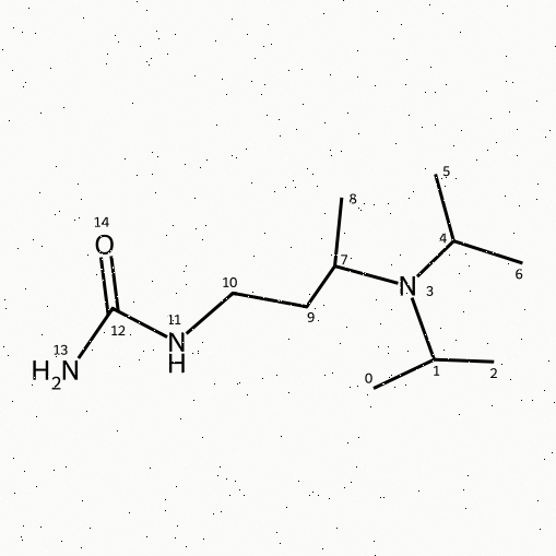 CC(C)N(C(C)C)C(C)CCNC(N)=O